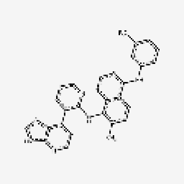 Cc1ccc2c(Nc3cccc(C(F)(F)F)c3)ncnc2c1Nc1ncccc1-c1ncnc2[nH]cnc12